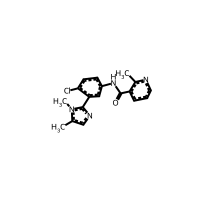 Cc1ncccc1C(=O)Nc1ccc(Cl)c(-c2ncc(C)n2C)c1